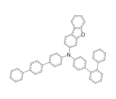 c1ccc(-c2ccc(-c3ccc(N(c4ccc(-c5ccccc5-c5ccccc5)cc4)c4ccc5c(c4)oc4ccccc45)cc3)cc2)cc1